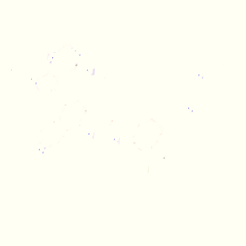 CN1CCN(Cc2ccc(NC(=O)Nc3ccc(-c4cn(C5CC5)c5ncnc(N)c45)c4ccncc34)cc2C(F)(F)F)CC1